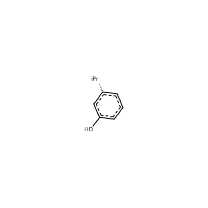 [CH2][C@@H](C)c1cccc(O)c1